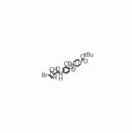 Cn1c(Br)cnc1C(=O)Nc1ccc(S(=O)(=O)N2CCN(C(=O)OC(C)(C)C)CC2)c(Cl)c1